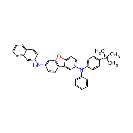 C[Si](C)(C)c1ccc(N(c2ccccc2)c2ccc3oc4cc(Nc5ccc6ccccc6c5)ccc4c3c2)cc1